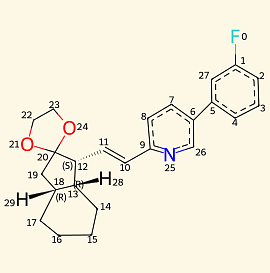 Fc1cccc(-c2ccc(C=C[C@@H]3[C@@H]4CCCC[C@@H]4CC34OCCO4)nc2)c1